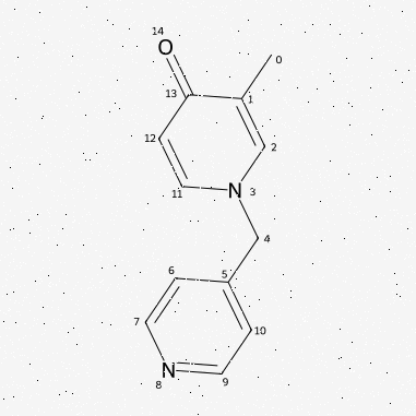 Cc1cn(Cc2ccncc2)ccc1=O